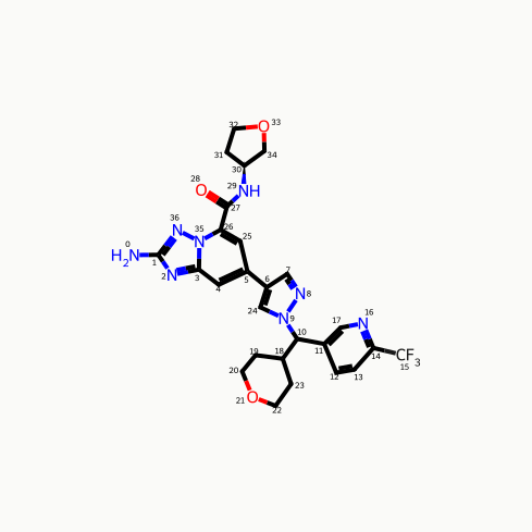 Nc1nc2cc(-c3cnn(C(c4ccc(C(F)(F)F)nc4)C4CCOCC4)c3)cc(C(=O)N[C@H]3CCOC3)n2n1